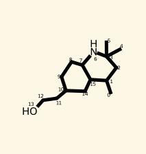 CC1CC(C)(C)NC2CCC(CCO)CC12